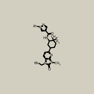 CC(C)n1cc(C(=O)NC2CC(c3ccc4c(n3)n(C)c(=O)n4CC(C)(C)C)CCC2(C)C)cn1